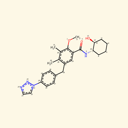 COc1c(C(=O)N[C@H]2CCCC[C@@H]2O)cc(Cc2ccc(-n3ccnn3)cc2)c(C)c1C